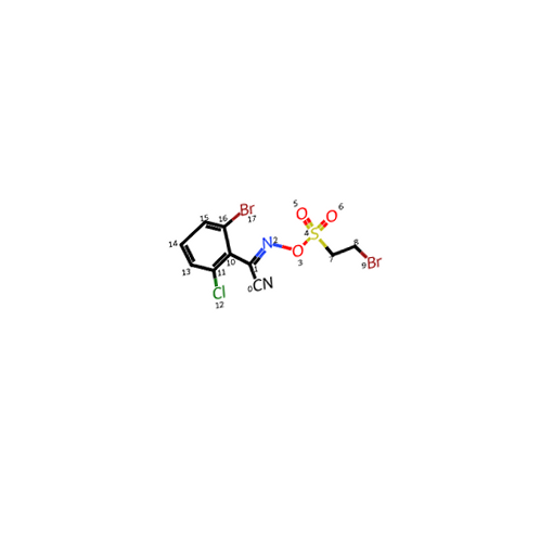 N#CC(=NOS(=O)(=O)CCBr)c1c(Cl)cccc1Br